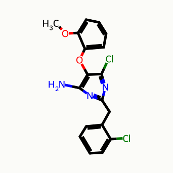 COc1ccccc1Oc1c(N)nc(Cc2ccccc2Cl)nc1Cl